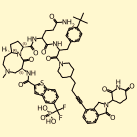 CN1CC[C@H]2CC[C@@H](C(=O)NC(CCC(N)=O)C(=O)NC(Cc3ccc(C(C)(C)C)cc3)C(=O)N3CCC(CCC#Cc4cccc5c4CN(C4CCC(=O)NC4=O)C5=O)CC3)N2C(=O)[C@@H](NC(=O)c2cc3cc(C(F)(F)P(=O)(O)O)ccc3s2)C1